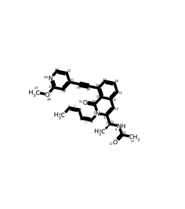 C/C=C\C=C/n1c([C@H](C)NC(C)=O)cc2cccc(C#Cc3ccnc(OC)c3)c2c1=O